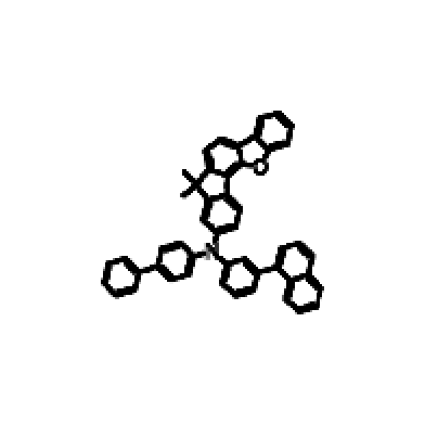 CC1(C)c2cc(N(c3ccc(-c4ccccc4)cc3)c3cccc(-c4cccc5ccccc45)c3)ccc2-c2c1ccc1c2oc2ccccc21